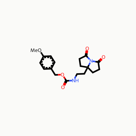 COc1ccc(COC(=O)NCCC23CCC(=O)N2C(=O)CC3)cc1